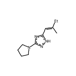 CCC(C)=Cc1nc(N2CCCC2)n[nH]1